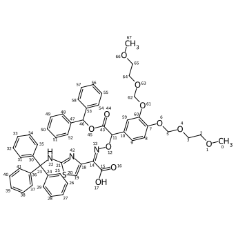 COCCOCOc1ccc(C(ON=C(C(=O)O)c2csc(NC(c3ccccc3)(c3ccccc3)c3ccccc3)n2)C(=O)OC(c2ccccc2)c2ccccc2)cc1OCOCCOC